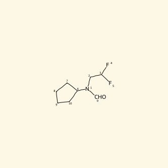 O=CN(CC(F)F)C1CCCC1